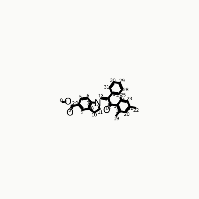 COC(=O)c1ccc2c(c1)CCN2C=C(C(=O)c1c(C)cc(C)cc1C)c1ccccc1